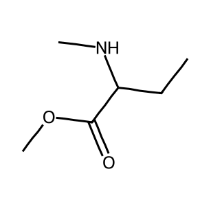 CCC(NC)C(=O)OC